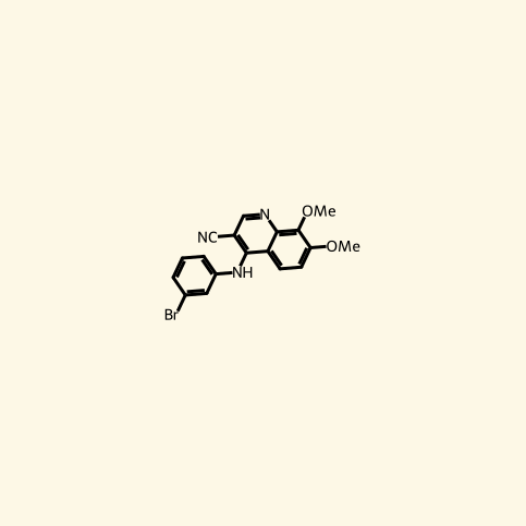 COc1ccc2c(Nc3cccc(Br)c3)c(C#N)cnc2c1OC